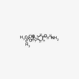 CC(C)(C)OC(=O)Cc1ccc(OCCN)cc1